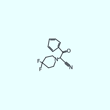 N#CC(C(=O)c1ccccc1)N1CCC(F)(F)CC1